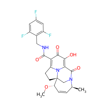 CO[C@H]1C=C[C@H](C)N2C[C@]13CCc1c(C(=O)NCc4c(F)cc(F)cc4F)c(=O)c(O)c(n13)C2=O